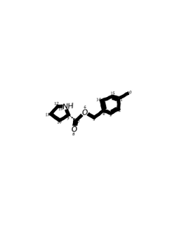 Cc1ccc(COC(=O)[C@@H]2CCCN2)cc1